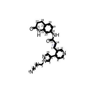 [N-]=[N+]=NCn1cc(-c2ccncc2/C=C/C(=O)Nc2ccc3c(c2)NC(=O)CC3)cn1